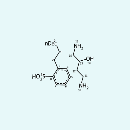 CCCCCCCCCCCCc1ccccc1S(=O)(=O)O.NCCC(O)CN